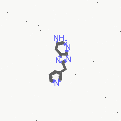 NC1=CN=C2N=C(Cc3cccnc3)N=C2C1